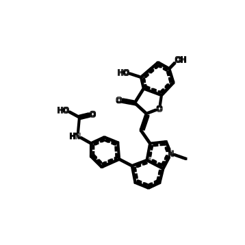 Cn1cc(C=C2Oc3cc(O)cc(O)c3C2=O)c2c(-c3ccc(NC(=O)O)cc3)cccc21